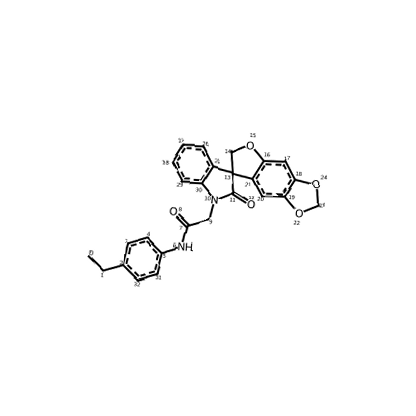 CCc1ccc(NC(=O)CN2C(=O)C3(COc4cc5c(cc43)OCO5)c3ccccc32)cc1